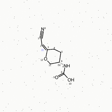 N#C/C=C1\CC[C@H](NC(=O)O)CO1